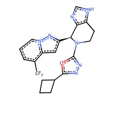 FC(F)(F)c1cccn2nc([C@H]3c4nc[nH]c4CCN3c3nnc(C4CCC4)o3)cc12